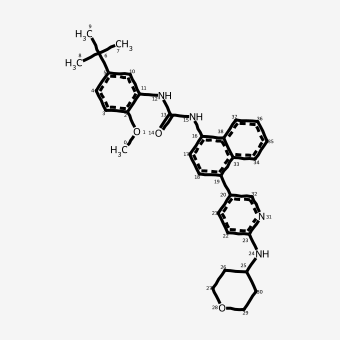 COc1ccc(C(C)(C)C)cc1NC(=O)Nc1ccc(-c2ccc(NC3CCOCC3)nc2)c2ccccc12